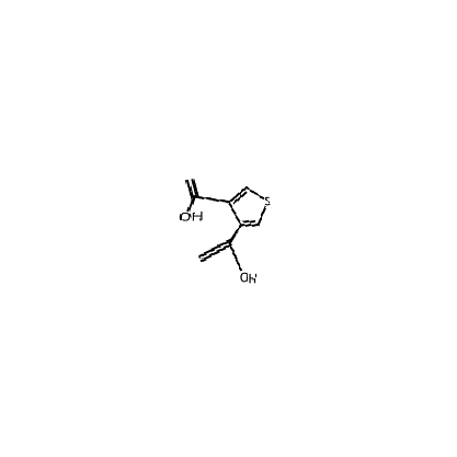 C=C(O)c1cscc1C(=C)O